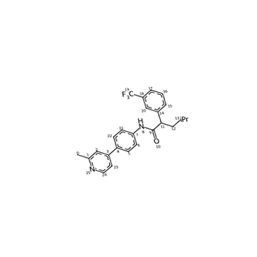 Cc1cc(-c2ccc(NC(=O)C(CC(C)C)c3cccc(C(F)(F)F)c3)cc2)ccn1